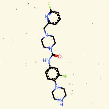 O=C(Nc1ccc(N2CCNCC2)c(F)c1)N1CCN(Cc2cccc(F)n2)CC1